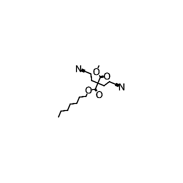 CCCCCCCOC(=O)C(CCC#N)(CCC#N)C(=O)OC